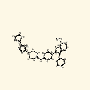 N#Cc1cccn2c(-c3ccccc3)c(-c3ccc(CN4CCC(c5nnc(-c6nccs6)[nH]5)CC4)cc3)nc12